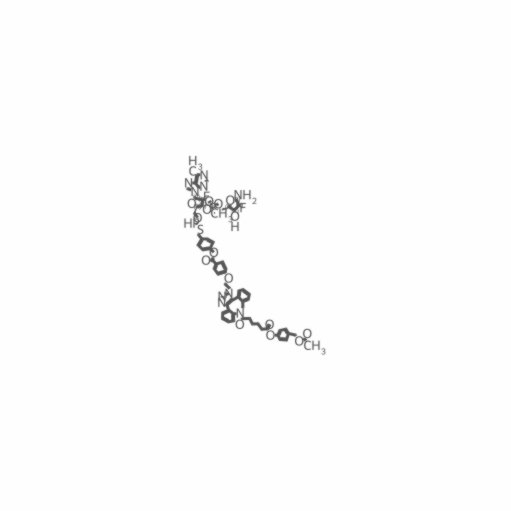 CC(=O)OCc1ccc(OC(=O)CCCCC(=O)N2Cc3ccccc3-c3c(nnn3CCOc3ccc(C(=O)Oc4ccc(CSPOC[C@H]5O[C@@H](n6cnc7c(C)ncnc76)[C@H](F)[C@@H]5O[P@@](C)(=O)OC[C@H]5O[C@@H](N)[C@H](F)[C@@H]5O)cc4)cc3)-c3ccccc32)cc1